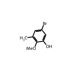 COc1c(C)cc(Br)cc1O